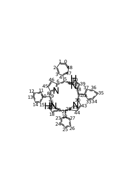 C1=CC=CC(c2c3nc(c(-c4ccccc4)c4ccc([nH]4)c(-c4ccccc4)c4nc(c(-c5ccccc5)c5ccc2[nH]5)C=C4)C=C3)=CC=1